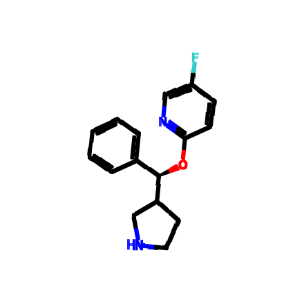 Fc1ccc(O[C@H](c2ccccc2)C2CCNC2)nc1